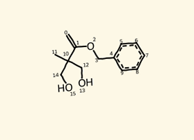 C=C(OCc1ccccc1)C(C)(CO)CO